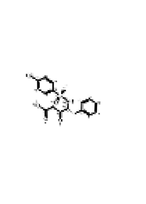 O=C(O)CC(=O)[C@@H](Cc1ccccc1)NS(=O)(=O)c1ccc(Cl)cc1